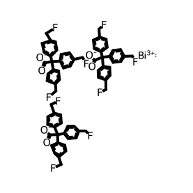 O=C([O-])C(c1ccc(CF)cc1)(c1ccc(CF)cc1)c1ccc(CF)cc1.O=C([O-])C(c1ccc(CF)cc1)(c1ccc(CF)cc1)c1ccc(CF)cc1.O=C([O-])C(c1ccc(CF)cc1)(c1ccc(CF)cc1)c1ccc(CF)cc1.[Bi+3]